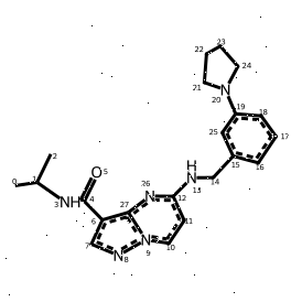 CC(C)NC(=O)c1cnn2ccc(NCc3cccc(N4CCCC4)c3)nc12